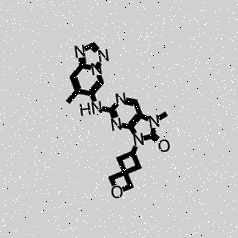 Cc1cc2ncnn2cc1Nc1ncc2c(n1)n(C1CC3(COC3)C1)c(=O)n2C